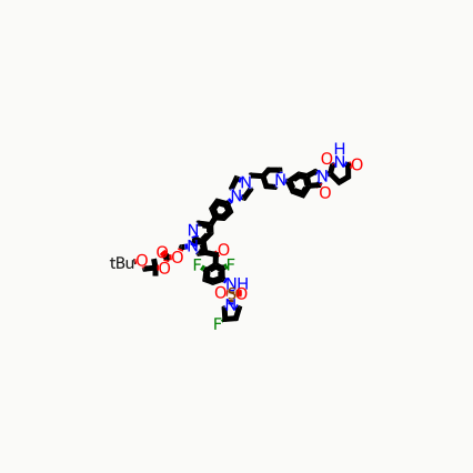 CC(C)(C)OCC(C)(C)OC(=O)OCn1cc(C(=O)c2c(F)ccc(NS(=O)(=O)N3CC[C@@H](F)C3)c2F)c2cc(-c3ccc(N4CCN(CC5CCN(c6ccc7c(c6)CN(C6CCC(=O)NC6=O)C7=O)CC5)CC4)cc3)cnc21